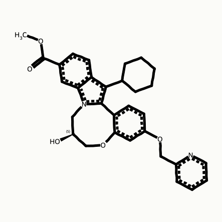 COC(=O)c1ccc2c(C3CCCCC3)c3n(c2c1)C[C@H](O)COc1cc(OCc2ccccn2)ccc1-3